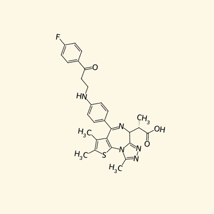 Cc1sc2c(c1C)C(c1ccc(NCCC(=O)c3ccc(F)cc3)cc1)=NC([C@H](C)C(=O)O)c1nnc(C)n1-2